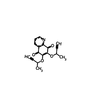 C#CC(C)OC1=C(OC(C)C#C)C(=O)c2ncccc2C1=O